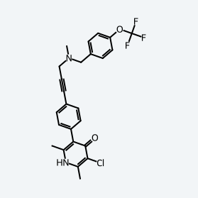 Cc1[nH]c(C)c(-c2ccc(C#CCN(C)Cc3ccc(OC(F)(F)F)cc3)cc2)c(=O)c1Cl